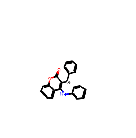 O=c1oc2ccccc2c(Nc2ccccc2)c1[Se]c1ccccc1